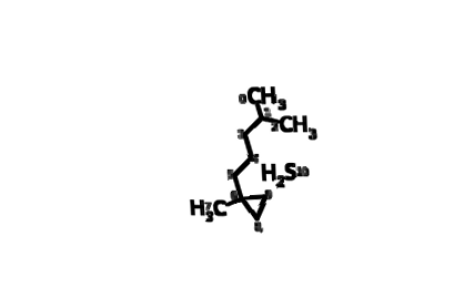 CC(C)CCCC1(C)CC1.S